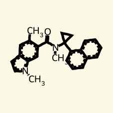 Cc1cc2ccn(C)c2cc1C(=O)N(C)C1(c2cccc3ccccc23)CC1